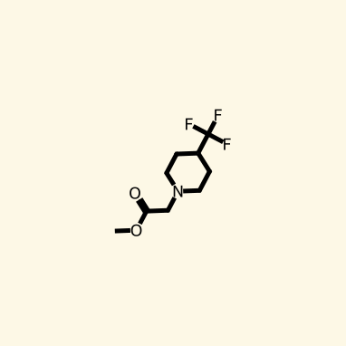 COC(=O)CN1CCC(C(F)(F)F)CC1